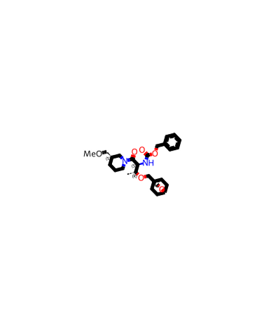 COC[C@H]1CCCN(C(=O)[C@@H](NC(=O)OCc2ccccc2)[C@@H](C)OCC23CCC(CC2)OC3)C1